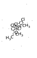 CCCC(OC)c1ccc(Cl)c2nc3n(c12)CCCN3c1c(C)cc(Cl)cc1Cl